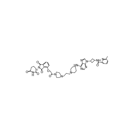 Cc1cccc(C(=O)NC2CC(n3cnc4c(NC5CCN(CCCN6CCN(C(=O)COc7cccc8c7C(=O)N([C@H]7CCC(=O)NC7=O)C8=O)CC6)CC5)ncnc43)C2)n1